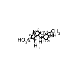 Cc1cc2cc(Nc3c(C#N)cnn4cc(C(=O)O)c(C)c34)ccc2[nH]1